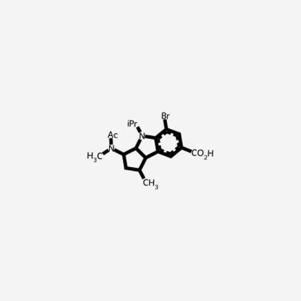 CC(=O)N(C)C1CC(C)C2c3cc(C(=O)O)cc(Br)c3N(C(C)C)C21